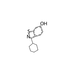 Oc1ccc2c(C3CCCCC3)nsc2c1